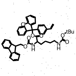 C=Cc1ccc(C(OC(=O)C(CCCCNC(=O)OC(C)(C)C)NC(=O)OCC2c3ccccc3-c3ccccc32)(c2ccccc2)c2ccccc2Cl)cc1